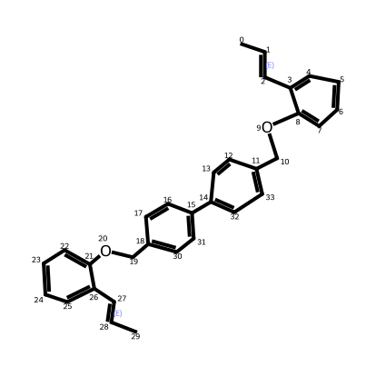 C/C=C/c1ccccc1OCc1ccc(-c2ccc(COc3ccccc3/C=C/C)cc2)cc1